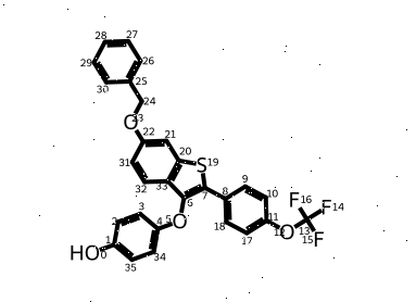 Oc1ccc(Oc2c(-c3ccc(OC(F)(F)F)cc3)sc3cc(OCc4ccccc4)ccc23)cc1